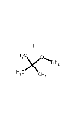 CC(C)(C)ON.I